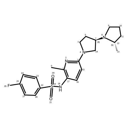 Cc1nc(N2CC[C@@H](N3CCC[C@@H]3C)C2)ccc1NS(=O)(=O)c1ccc(F)cc1